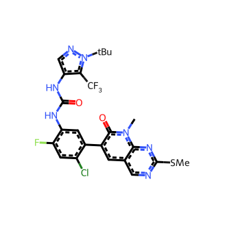 CSc1ncc2cc(-c3cc(NC(=O)Nc4cnn(C(C)(C)C)c4C(F)(F)F)c(F)cc3Cl)c(=O)n(C)c2n1